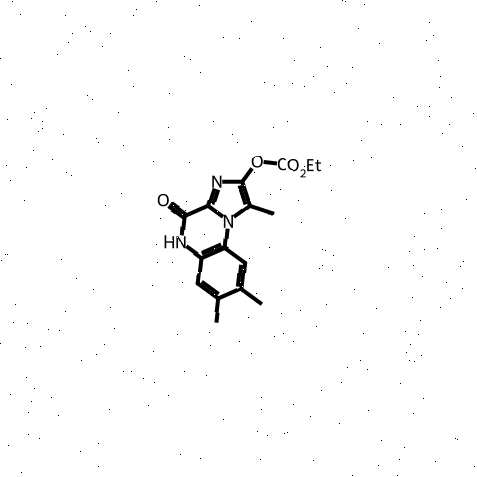 CCOC(=O)Oc1nc2c(=O)[nH]c3cc(C)c(C)cc3n2c1C